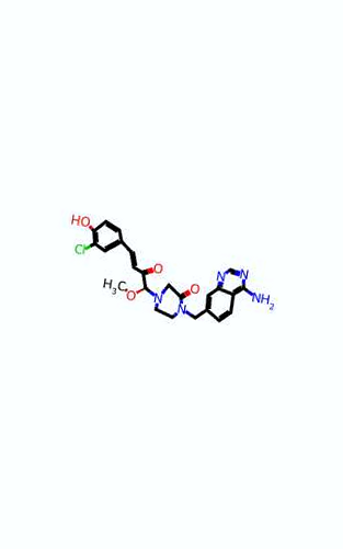 CO[C@@H](C(=O)/C=C/c1ccc(O)c(Cl)c1)N1CCN(Cc2ccc3c(N)ncnc3c2)C(=O)C1